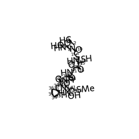 C#CCN(CC(=O)NO)C(=O)CSN[C@@H](CS)C(=O)C(=O)CNC(=O)CNC(=O)[C@H](Cc1ccccc1)NC(=O)C(CCSC)NO